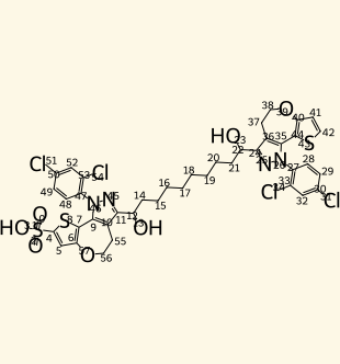 O=S(=O)(O)c1cc2c(s1)-c1c(c(C(O)CCCCCCCCC(O)c3nn(-c4ccc(Cl)cc4Cl)c4c3CCOc3ccsc3-4)nn1-c1ccc(Cl)cc1Cl)CCO2